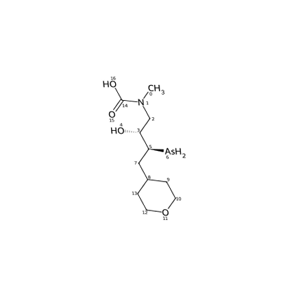 CN(C[C@@H](O)[C@@H]([AsH2])CC1CCOCC1)C(=O)O